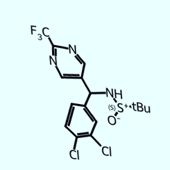 CC(C)(C)[S@@+]([O-])NC(c1cnc(C(F)(F)F)nc1)c1ccc(Cl)c(Cl)c1